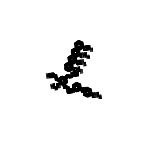 Cc1c(CCO)cc(CCO)cc1CCO.Cc1ccccc1.Cc1ccccc1.Cc1ccccc1.Cc1ccccc1.Cc1ccccc1.Cc1ccccc1